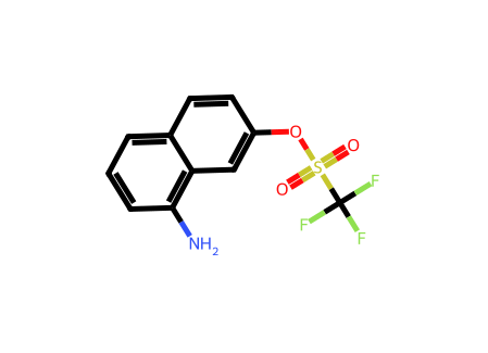 Nc1cccc2ccc(OS(=O)(=O)C(F)(F)F)cc12